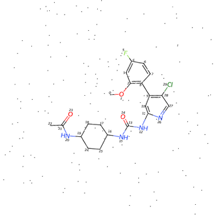 COc1cc(F)ccc1-c1cc(NC(=O)NC2CCC(NC(C)=O)CC2)ncc1Cl